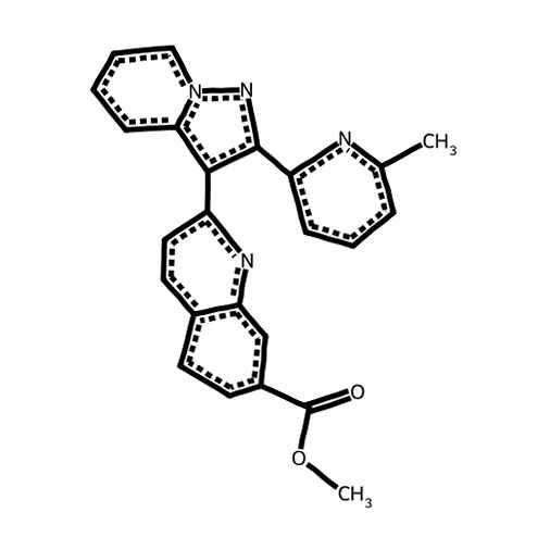 COC(=O)c1ccc2ccc(-c3c(-c4cccc(C)n4)nn4ccccc34)nc2c1